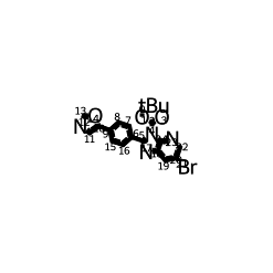 CC(C)(C)OC(=O)n1c(-c2ccc(-c3cnco3)cc2)nc2cc(Br)cnc21